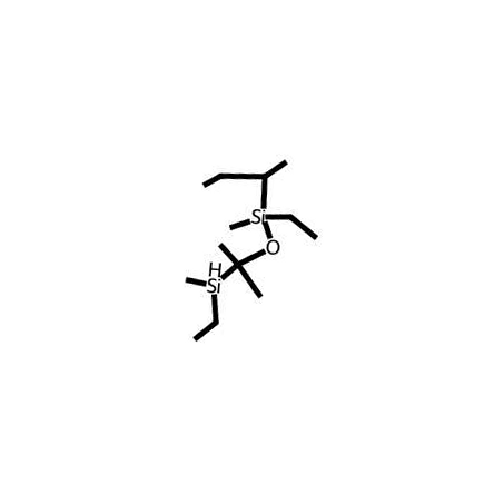 CCC(C)[Si](C)(CC)OC(C)(C)[SiH](C)CC